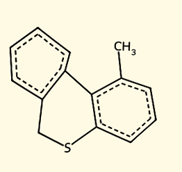 Cc1cccc2c1-c1ccccc1CS2